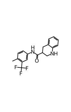 Cc1ccc(NC(=O)C2CNc3ccccc3C2)cc1C(F)(F)F